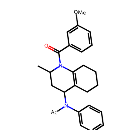 COc1cccc(C(=O)N2C3=C(CCCC3)C(N(C(C)=O)c3ccccc3)CC2C)c1